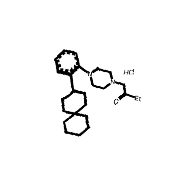 CCC(=O)CN1CCN(c2ccccc2C2CCC3(CCCCC3)CC2)CC1.Cl